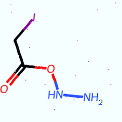 NNOC(=O)CI